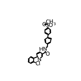 CS(=O)(=O)c1ccc(-c2ccc(CNC(=O)c3ccc(-c4ccccc4Cl)nc3)cc2)cc1